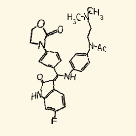 CC(=O)N(CCN(C)C)c1ccc(NC(=C2C(=O)Nc3cc(F)ccc32)c2ccc(N3CCOC3=O)cc2)cc1